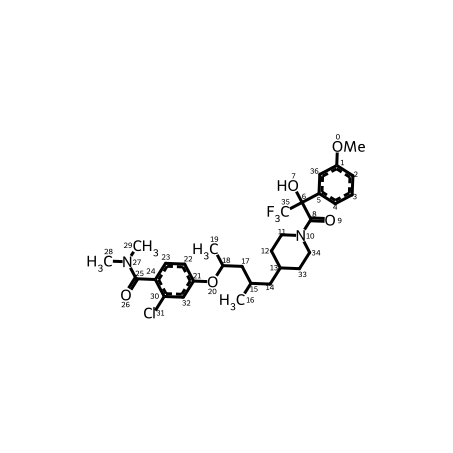 COc1cccc(C(O)(C(=O)N2CCC(CC(C)CC(C)Oc3ccc(C(=O)N(C)C)c(Cl)c3)CC2)C(F)(F)F)c1